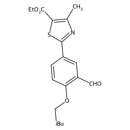 CCOC(=O)c1sc(-c2ccc(OCC(C)CC)c(C=O)c2)nc1C